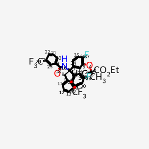 CCOC(=O)C(C)(C)Oc1cc([C@@](Cc2ccccc2)(NC(=O)c2cccc(C(F)(F)F)c2)c2cc(F)cc(C(F)(F)F)c2)ccc1F